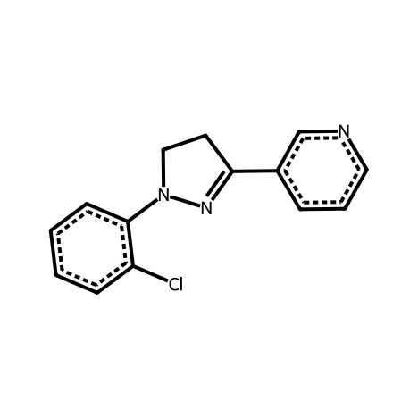 Clc1ccccc1N1CCC(c2cccnc2)=N1